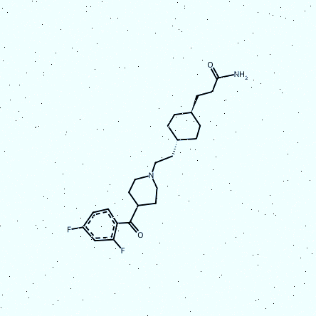 NC(=O)CC[C@H]1CC[C@H](CCN2CCC(C(=O)c3ccc(F)cc3F)CC2)CC1